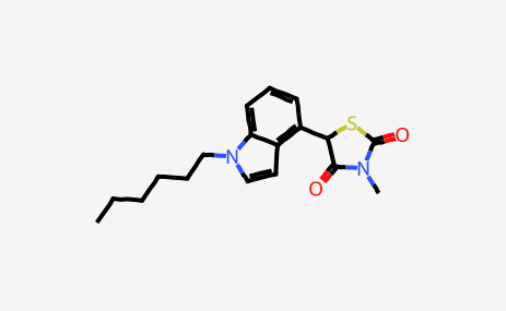 CCCCCCn1ccc2c(C3SC(=O)N(C)C3=O)cccc21